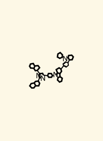 C1=C(c2ccc3c(c2)c2ccccc2n3-c2ccc(-c3cc(-c4ccc5ccccc5c4)nc(-c4ccc5ccccc5c4)n3)cc2)C=C2C(C1)c1ccccc1N2c1ccccc1